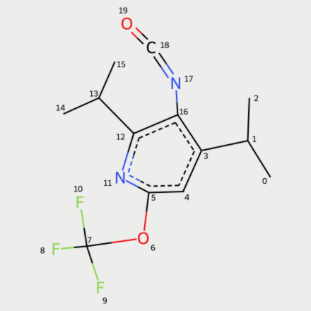 CC(C)c1cc(OC(F)(F)F)nc(C(C)C)c1N=C=O